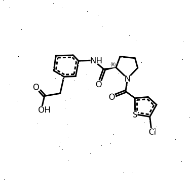 O=C(O)Cc1cccc(NC(=O)[C@H]2CCCN2C(=O)c2ccc(Cl)s2)c1